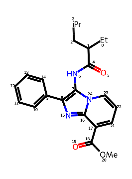 CCC(CC(C)C)C(=O)Nc1c(-c2ccccc2)nc2c(C(=O)OC)cccn12